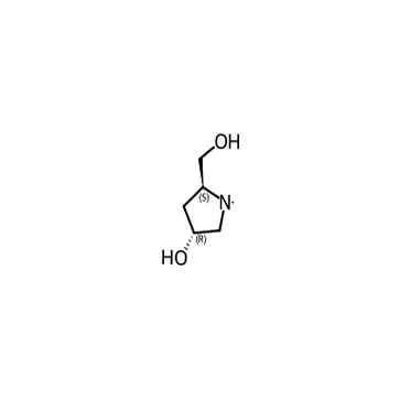 OC[C@@H]1C[C@@H](O)C[N]1